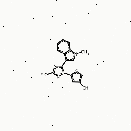 Cc1csc(-n2nc(C(F)(F)F)nc2-c2cn(C)c3ccccc23)c1